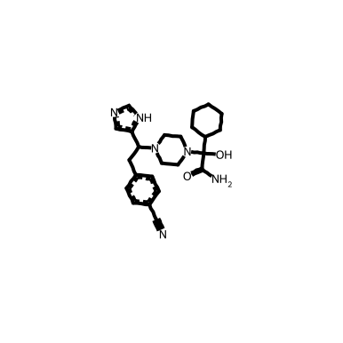 N#Cc1ccc(CC(c2cnc[nH]2)N2CCN(C(O)(C(N)=O)C3CCCCC3)CC2)cc1